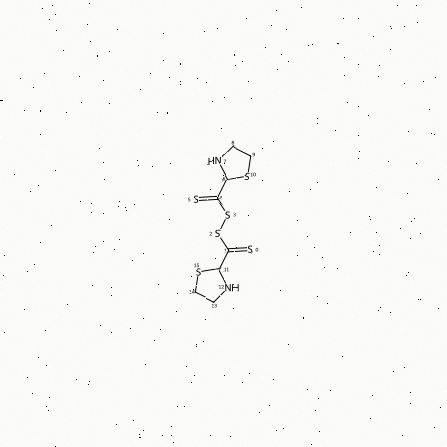 S=C(SSC(=S)C1NCCS1)C1NCCS1